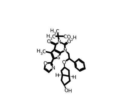 Cc1c(-c2ncco2)sc2c1c(=O)n(C(C)(C)C(=O)O)c(=O)n2CC(O[C@H]1C[C@H]2C[C@@H](O)C[C@H]2C1)c1ccccc1